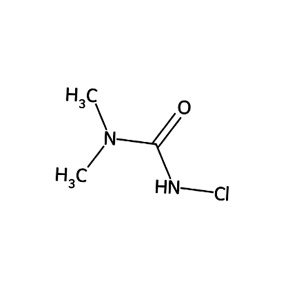 CN(C)C(=O)NCl